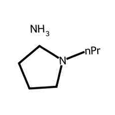 CCCN1CCCC1.N